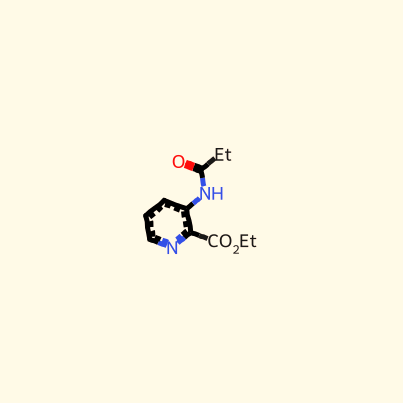 CCOC(=O)c1ncccc1NC(=O)CC